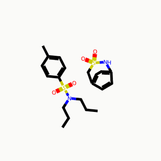 CCCN(CCC)S(=O)(=O)c1ccc(C)cc1.O=S1(=O)Cc2ccc(cc2)N1